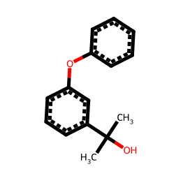 CC(C)(O)c1cccc(Oc2ccccc2)c1